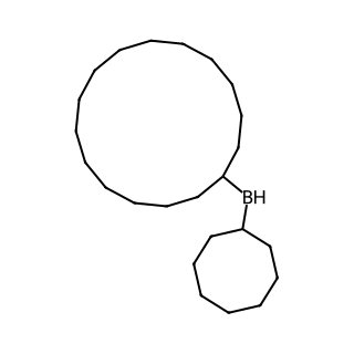 B(C1CCCCCCCCCCCCCCC1)C1CCCCCCC1